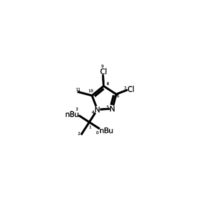 CCCCC(C)(CCCC)n1nc(Cl)c(Cl)c1C